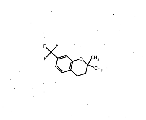 CC1(C)CCc2ccc(C(F)(F)F)cc2O1